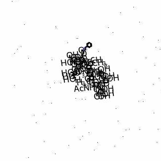 CC(=O)NC1C(O[C@H]2CC[C@@]3(C)C(CC[C@]4(C)C3CC=C3C5CC(C)(C)CC[C@]5(C(=O)OC5OC(COC(=O)/C=C/c6ccccc6)C(OC6OC(CO)C(O)C(O)C6OC(C)=O)C(O)C5OC5OCC(OC6OCC(O)(CO)C6O)C(O)C5O)CC[C@]34C)C2(C)C)OC(COC2OCC(O)C(O)C2OC2OCC(O)C(O)C2O)C(OC2OC(CO)C(O)C(O)C2O)C1O